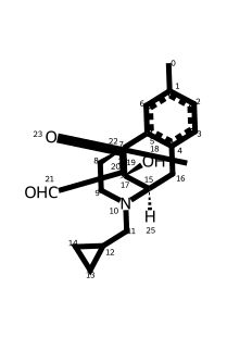 Cc1ccc2c(c1)[C@]13CCN(CC4CC4)[C@H](C2)[C@]1(O)CC(C=O)C(=O)C3